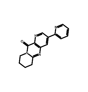 O=c1c2ncc(-c3ccccn3)cc2nc2n1CCCC2